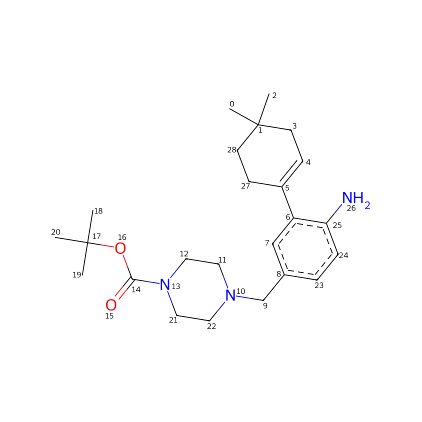 CC1(C)CC=C(c2cc(CN3CCN(C(=O)OC(C)(C)C)CC3)ccc2N)CC1